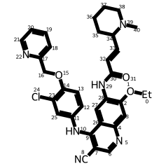 CCOc1cc2ncc(C#N)c(Nc3ccc(OCc4ccccn4)c(Cl)c3)c2cc1NC(=O)C=CC1CCCCN1C